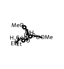 CCN(CC)CCN(C)Cc1cccc(C(=O)Nc2ccc(OCCOCCOC)cc2C(=O)NN=Cc2ccc(OC)cc2)c1